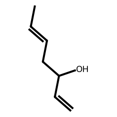 C=CC(O)CC=CC